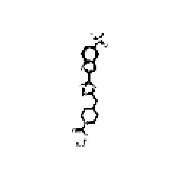 CC(C)(C)OC(=O)N1CCC(Cc2noc(-c3cc4cc(S(C)(=O)=O)ccc4o3)n2)CC1